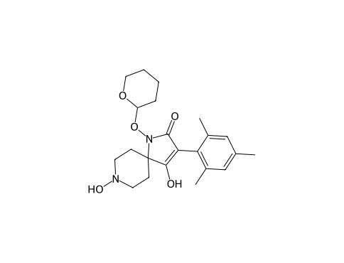 Cc1cc(C)c(C2=C(O)C3(CCN(O)CC3)N(OC3CCCCO3)C2=O)c(C)c1